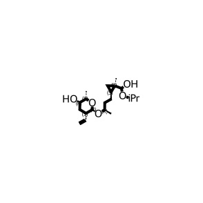 C=C[C@@H]1C[C@@H](O)[C@H](C)O[C@H]1O[C@H](C)CC[C@H]1C[C@@]1(C)C(O)OC(C)C